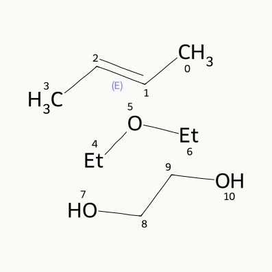 C/C=C/C.CCOCC.OCCO